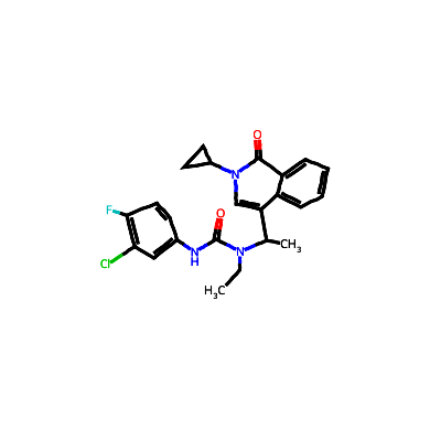 CCN(C(=O)Nc1ccc(F)c(Cl)c1)C(C)c1cn(C2CC2)c(=O)c2ccccc12